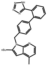 CCCCc1cc2c(C)ccnc2n1Cc1ccc(-c2ccccc2-c2nnn[nH]2)cc1